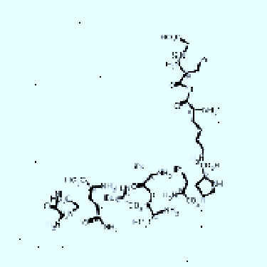 CC(C)C[C@H](N)C(=O)O.CC(C)C[C@H](N)C(=O)OC(=O)[C@@H](N)CCCCN.CC(C)[C@H](N)C(=O)OC[C@H](N)C(=O)O.CC[C@H](C)[C@H](N)C(=O)O.NC(=O)CC[C@H](N)C(=O)O.NCC(=O)O.NCC(=O)O.NCC(N)=O.O=C(O)[C@@H]1CCCN1